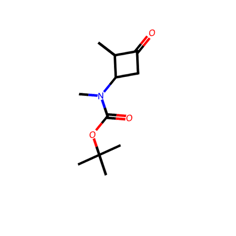 CC1C(=O)CC1N(C)C(=O)OC(C)(C)C